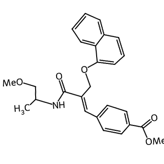 COCC(C)NC(=O)/C(=C/c1ccc(C(=O)OC)cc1)COc1cccc2ccccc12